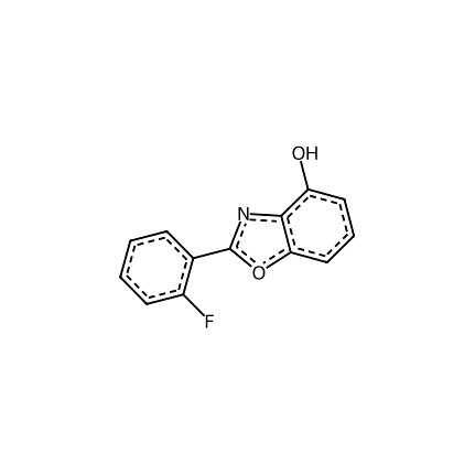 Oc1cccc2oc(-c3ccccc3F)nc12